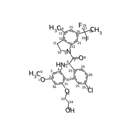 COc1cc(NC(C(=O)N2CCc3c(C)cc(C(C)(F)F)cc32)c2ccc(Cl)cc2)cc(OCCO)c1